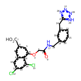 O=C(COc1cc(C(=O)O)cc2cc(Cl)cc(Cl)c12)NCc1cccc(Cc2nnn[nH]2)c1